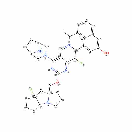 CCc1cccc2cc(O)cc(-c3ncc4c(N5CC6CCC(C5)N6)nc(OCC56CCCN5C5CCCC5(F)C6)nc4c3F)c12